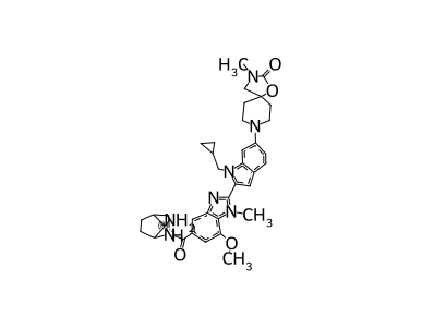 COc1cc(C(=O)N2CC3CCC2[C@@H]3N)cc2nc(-c3cc4ccc(N5CCC6(CC5)CN(C)C(=O)O6)cc4n3CC3CC3)n(C)c12